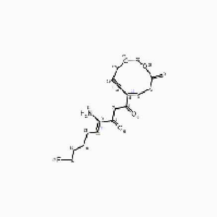 C=C1C/C=C(C(=O)CC(=O)/C(N)=C/CCCCF)\C=C/COCO1